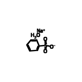 O.O=S(=O)([O-])c1ccccc1.[Na+]